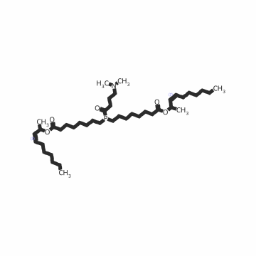 CCCCCC/C=C\C(C)OC(=O)CCCCCCCP(CCCCCCCC(=O)OC(C)/C=C\CCCCCC)C(=O)CCCN(C)C